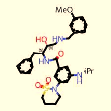 COc1cccc(CNC[C@@H](O)[C@H](Cc2ccccc2)NC(=O)c2cc(NC(C)C)cc(N3CCCCS3(=O)=O)c2)c1